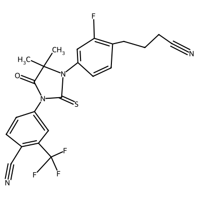 CC1(C)C(=O)N(c2ccc(C#N)c(C(F)(F)F)c2)C(=S)N1c1ccc(CCCC#N)c(F)c1